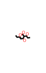 CCC(=O)C1C(=O)C=C(CC)OC1=O